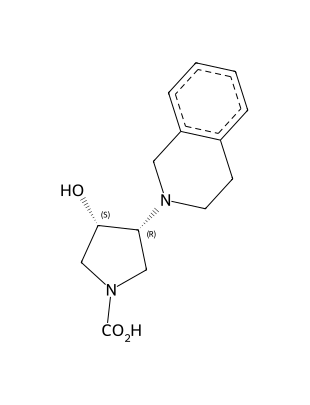 O=C(O)N1C[C@@H](N2CCc3ccccc3C2)[C@@H](O)C1